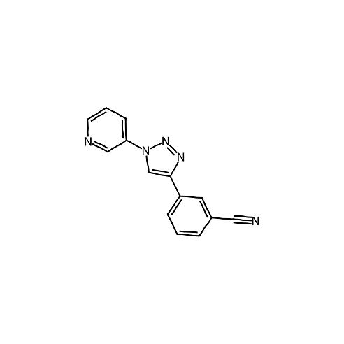 N#Cc1cccc(-c2cn(-c3cccnc3)nn2)c1